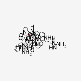 N=C(N)NCCC[C@H](N)C(=O)N1CCCN1C(=O)N1CCC[C@H]1C(=O)NCC(=O)N[C@@H](Cc1ccccc1)C(=O)N[C@@H](CO)C(=O)N1CCC[C@H]1C(=O)NN(Cc1ccccc1)C(=O)N[C@H](CCCNC(=N)N)C(=O)O